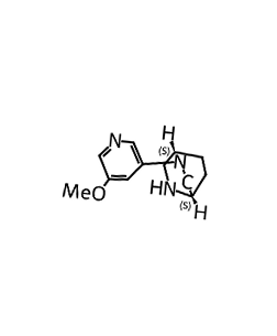 COc1cncc(N2C[C@@H]3CC[C@H]2CN3)c1